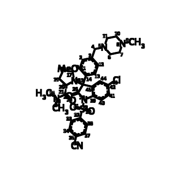 COc1cc(CN2CCN(C)CC2)ccc1C1(N2CCC[C@H]2C(=O)N(C)C)C(=O)N(S(=O)(=O)c2ccc(C#N)cc2)c2ccc(Cl)cc21